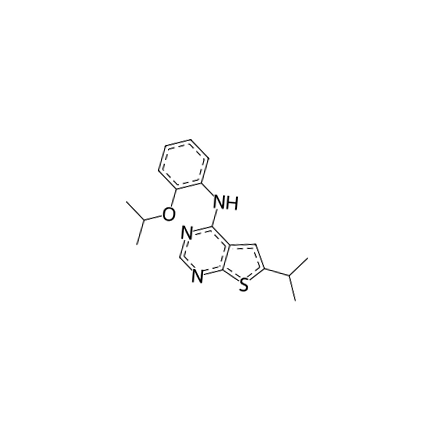 CC(C)Oc1ccccc1Nc1ncnc2sc(C(C)C)cc12